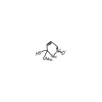 COC1(S)C=CC=[N+]([O-])N1